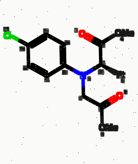 CC[C@H](C(=O)OC)N(CC(=O)OC)c1ccc(Cl)cc1